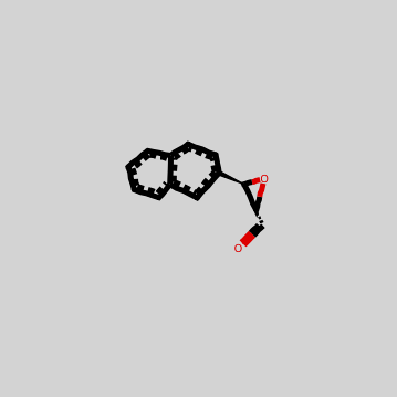 O=C[C@H]1O[C@@H]1c1ccc2ccccc2c1